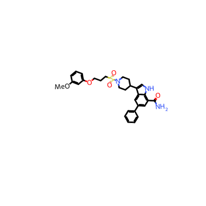 COc1cccc(OCCCS(=O)(=O)N2CCC(c3c[nH]c4c(C(N)=O)cc(-c5ccccc5)cc34)CC2)c1